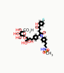 CS(=O)(=O)NCCCc1ccc(N2C(=O)C(CC[C@H](O)c3ccc(F)cc3)[C@H]2c2ccc(CCC(O)(CO)CO[C@@H]3OC(C(=O)O)[C@@H](O)[C@H](O)[C@H]3O)cc2)cc1